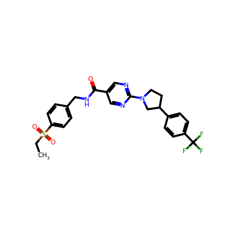 CCS(=O)(=O)c1ccc(CNC(=O)c2cnc(N3CCC(c4ccc(C(F)(F)F)cc4)C3)nc2)cc1